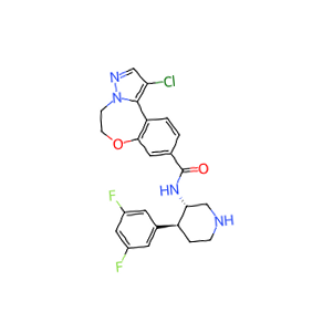 O=C(N[C@@H]1CNCC[C@H]1c1cc(F)cc(F)c1)c1ccc2c(c1)OCCn1ncc(Cl)c1-2